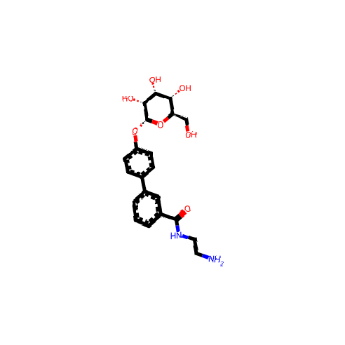 NCCNC(=O)c1cccc(-c2ccc(O[C@H]3O[C@H](CO)[C@@H](O)[C@@H](O)[C@H]3O)cc2)c1